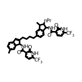 CCCC1C(C)c2cc(CCCCC3=Cc4ccc(C)cc4C3NC(=O)c3ccc(C(F)(F)F)[nH]c3=O)ccc2C1NC(=O)c1ccc(C(F)(F)F)[nH]c1=O